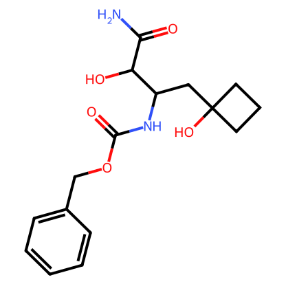 NC(=O)C(O)C(CC1(O)CCC1)NC(=O)OCc1ccccc1